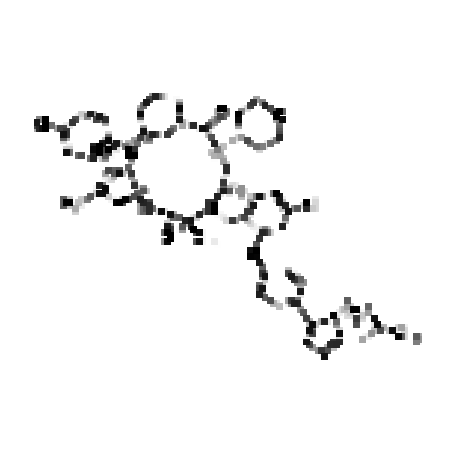 COC[C@@H]1NC(=O)[C@H](C)N(Cc2c(F)cc(Cl)cc2Oc2ccc(-c3cnc(CN(C)C)n3C)cc2)C(=O)C[C@@H](C2CCOCC2)C(=O)N2CCC[C@@](Cc3ccc(Cl)cc3)(C2)N(C)C1=O